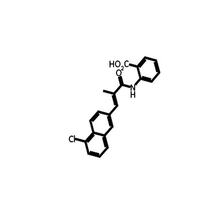 C/C(=C\c1ccc2c(Cl)cccc2c1)C(=O)Nc1ccccc1C(=O)O